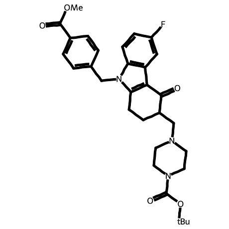 COC(=O)c1ccc(Cn2c3c(c4cc(F)ccc42)C(=O)C(CN2CCN(C(=O)OC(C)(C)C)CC2)CC3)cc1